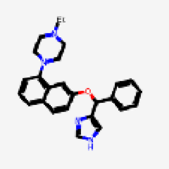 CCN1CCN(c2cccc3ccc(OC(c4ccccc4)c4c[nH]cn4)cc23)CC1